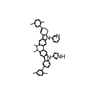 Cc1ccc(C)c(C2=Cc3c(n(-c4cccnc4)c4cc5c(cc34)C(C)C(C)c3cc4c6cc(-c7cc(C)ccc7C)ccc6n(-c6cc[nH]c6)c4cc3-5)CC2)c1